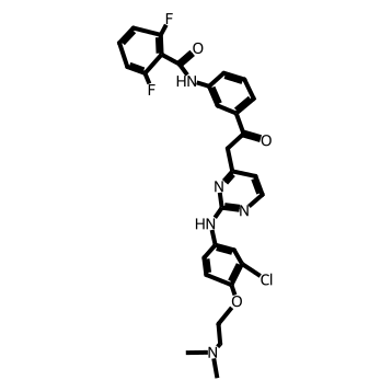 CN(C)CCOc1ccc(Nc2nccc(CC(=O)c3cccc(NC(=O)c4c(F)cccc4F)c3)n2)cc1Cl